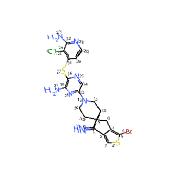 N=C1c2csc(Br)c2CC12CCN(c1cnc(Sc3ccnc(N)c3Cl)c(N)n1)CC2